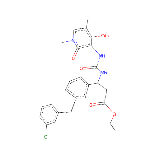 CCOC(=O)CC(NC(=O)Nc1c(O)c(C)cn(C)c1=O)c1cccc(Cc2cccc(Cl)c2)c1